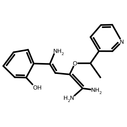 CC(OC(/C=C(\N)c1ccccc1O)=C(N)N)c1cccnc1